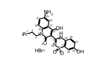 Br.CC(C)CCn1c(=O)c(C2=NS(=O)(=O)c3cc(O)ccc3N2)c(O)c2cc(N)ccc21